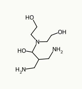 NCC(CN)C(O)N(CCO)CCO